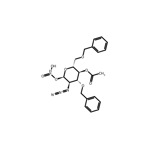 CC(=O)O[C@H]1[C@H](OCc2ccccc2)[C@@H](N=[N+]=[N-])[C@@H](O[PH](=O)O)O[C@@H]1COCc1ccccc1